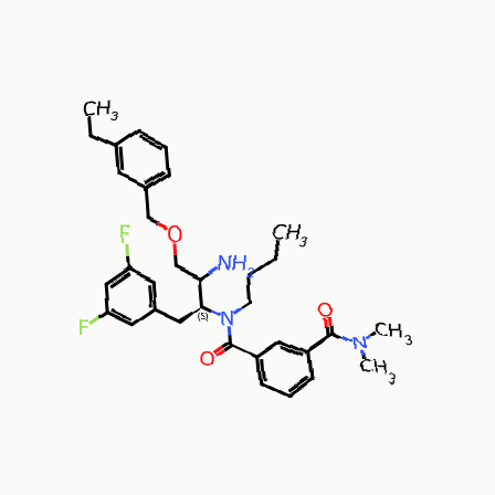 CCCCN(C(=O)c1cccc(C(=O)N(C)C)c1)[C@@H](Cc1cc(F)cc(F)c1)C(N)COCc1cccc(CC)c1